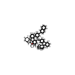 CCC1CC2CCCC(C2)C12c1ccccc1-c1c(N(c3cccc(-c4ccc5ccccc5c4)c3)c3ccc4c(c3)C3(c5ccccc5-4)C4CC5CC(C4)CC3C5)cccc12